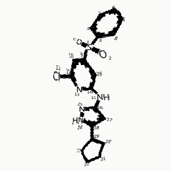 O=S(=O)(c1ccccc1)c1cc(Cl)nc(Nc2cc(C3CCCC3)[nH]n2)c1